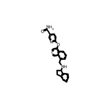 NC(=O)c1ccc(Oc2cccc3c(CNC4CCc5ccccc54)cccc23)nc1